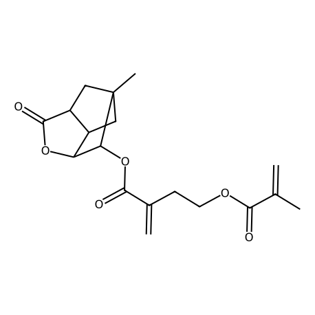 C=C(C)C(=O)OCCC(=C)C(=O)OC1C2OC(=O)C3CC1(C)CC32